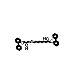 OC(CCCCCCCSSCC(O)COc1ccccc1-c1ccccc1)COc1ccccc1-c1ccccc1